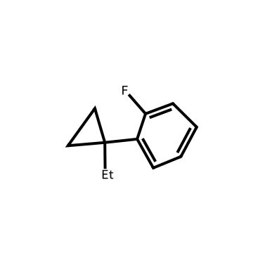 CCC1(c2ccccc2F)CC1